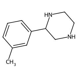 Cc1cccc(C2CNCCN2)c1